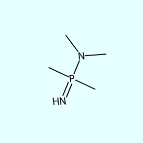 CN(C)P(C)(C)=N